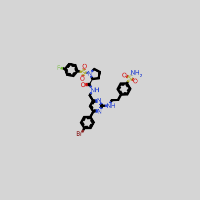 NS(=O)(=O)c1ccc(CCNc2nc(CNC(=O)[C@@H]3CCCN3S(=O)(=O)c3ccc(F)cc3)cc(-c3ccc(Br)cc3)n2)cc1